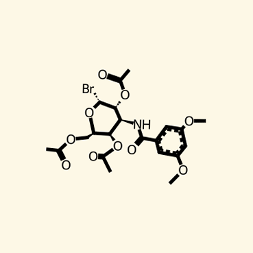 COc1cc(OC)cc(C(=O)N[C@@H]2[C@@H](OC(C)=O)[C@@H](Br)O[C@H](COC(C)=O)[C@@H]2OC(C)=O)c1